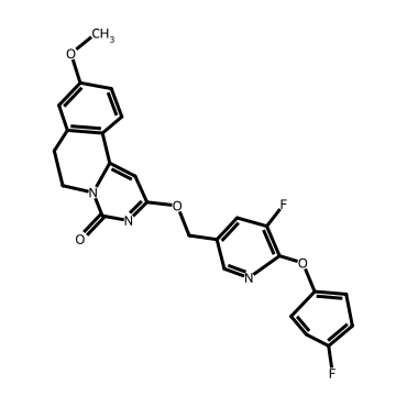 COc1ccc2c(c1)CCn1c-2cc(OCc2cnc(Oc3ccc(F)cc3)c(F)c2)nc1=O